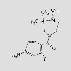 CN1CCN(C(=O)c2ccc(N)cc2F)CC1(C)C